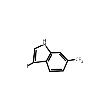 FC(F)(F)c1ccc2c(I)c[nH]c2c1